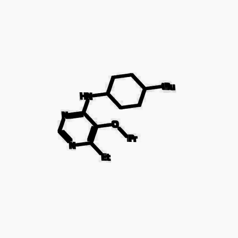 CCc1ncnc(NC2CCC(C(C)(C)C)CC2)c1OC(C)C